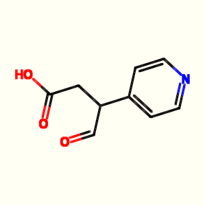 O=CC(CC(=O)O)c1ccncc1